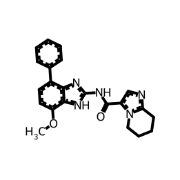 COc1ccc(-c2ccccc2)c2nc(NC(=O)c3cnc4n3CCCC4)[nH]c12